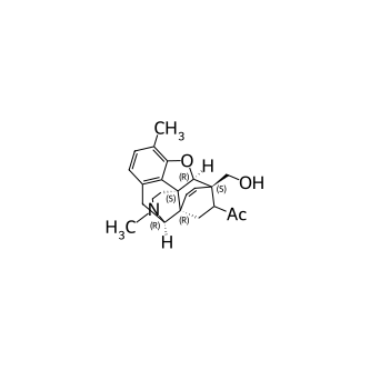 CC(=O)C1C[C@@]23C=C[C@]1(CO)[C@@H]1Oc4c(C)ccc5c4[C@@]12CCN(C)[C@@H]3C5